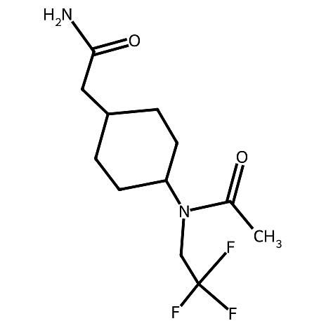 CC(=O)N(CC(F)(F)F)C1CCC(CC(N)=O)CC1